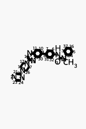 CN(C(=O)Nc1ccc(-c2ccc3ncc(N4CCN(c5cnccn5)CC4)nc3c2)cc1)c1ccccc1